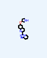 c1ccn2c(-c3ccc4cc(OC5CCNC5)ccc4n3)nnc2c1